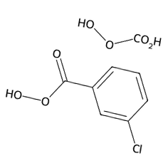 O=C(O)OO.O=C(OO)c1cccc(Cl)c1